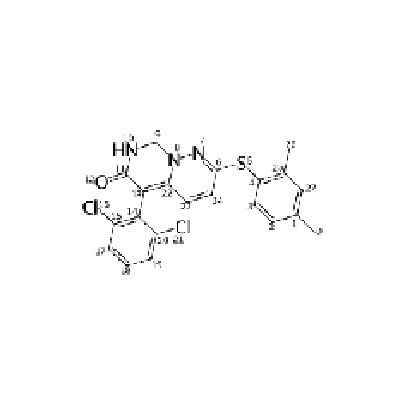 Cc1ccc(SC2=NN3CNC(=O)C(c4c(Cl)cccc4Cl)=C3C=C2)c(C)c1